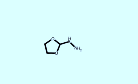 NBC1OCCO1